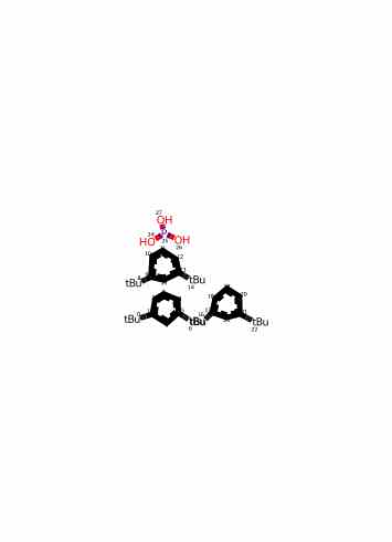 CC(C)(C)c1cccc(C(C)(C)C)c1.CC(C)(C)c1cccc(C(C)(C)C)c1.CC(C)(C)c1cccc(C(C)(C)C)c1.OP(O)O